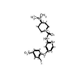 CN(C)C1CCN(C(=O)Nc2cc(Oc3ccc([N+](=O)[O-])cc3F)ccn2)CC1